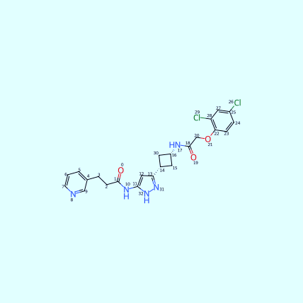 O=C(CCc1cccnc1)Nc1cc([C@H]2C[C@@H](NC(=O)COc3ccc(Cl)cc3Cl)C2)n[nH]1